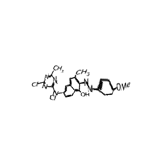 COc1ccc(N=Nc2c(C)cc3cc(N(Cl)c4nc(C)nc(Cl)n4)ccc3c2O)cc1